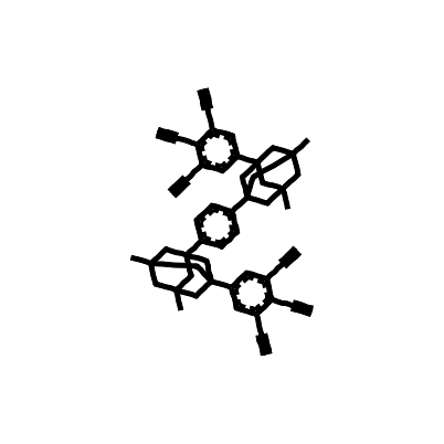 C#Cc1cc(C23CC4(C)CC(C)(CC(c5ccc(C67CC8(C)CC(C)(C6)CC(c6cc(C#C)c(C#C)c(C#C)c6)(C8)C7)cc5)(C4)C2)C3)cc(C#C)c1C#C